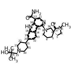 CN1CC[C@@]2(CCCN(c3ncc(C(N)=O)c4[nH]c5cc(C6CCN(CC(C)(C)O)CC6)ccc5c34)C2)C1=O